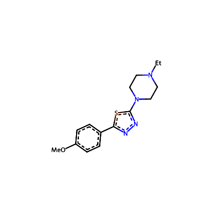 CCN1CCN(c2nnc(-c3ccc(OC)cc3)s2)CC1